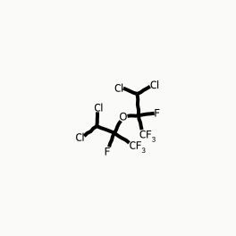 FC(F)(F)C(F)(OC(F)(C(Cl)Cl)C(F)(F)F)C(Cl)Cl